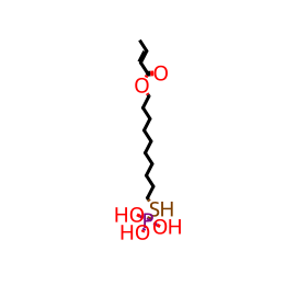 CC=CC(=O)OCCCCCCCCCC[SH]=P(O)(O)O